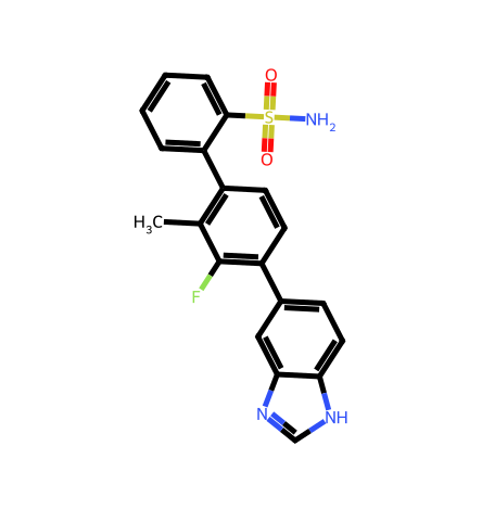 Cc1c(-c2ccccc2S(N)(=O)=O)ccc(-c2ccc3[nH]cnc3c2)c1F